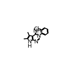 Cc1[nH]c2ncn(-c3ccccc3Cl)c(=N)c2c1C